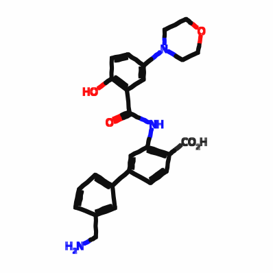 NCc1cccc(-c2ccc(C(=O)O)c(NC(=O)c3cc(N4CCOCC4)ccc3O)c2)c1